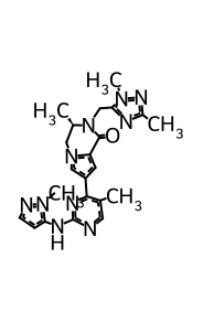 Cc1nc(CN2C(=O)c3cc(-c4nc(Nc5ccnn5C)ncc4C)cn3C[C@H]2C)n(C)n1